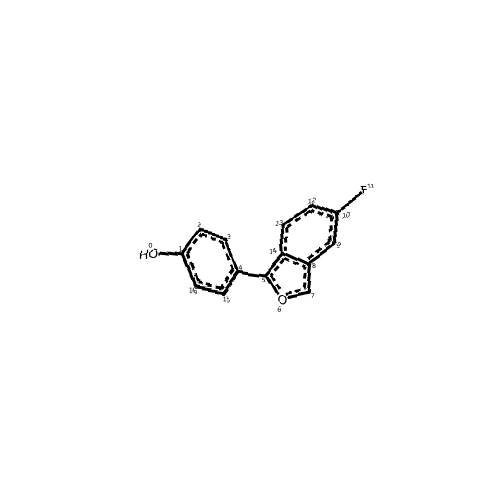 Oc1ccc(-c2occ3cc(F)ccc23)cc1